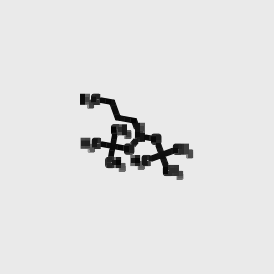 CCCC[SiH](OC(C)(C)C)OC(C)(C)C